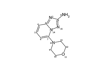 Nc1nc2cccc(N3CCOCC3)n2n1